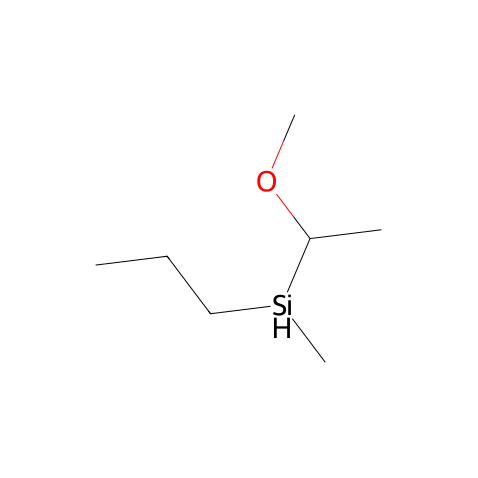 CCC[SiH](C)C(C)OC